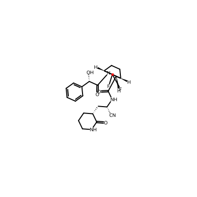 N#C[C@H](C[C@H]1CCCNC1=O)NC(=O)[C@H]1[C@H]2CC[C@H](CC2(F)F)N1C(=O)[C@@H](O)c1ccccc1